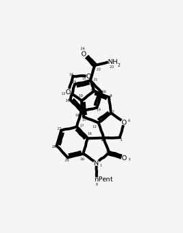 CCCCCN1C(=O)C2(COc3cc4c(cc32)OCO4)c2c(-c3ccc(C(N)=O)cc3)cccc21